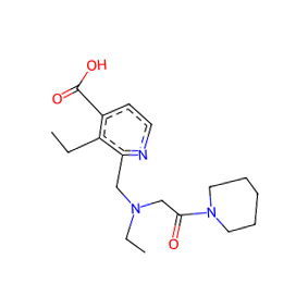 CCc1c(C(=O)O)ccnc1CN(CC)CC(=O)N1CCCCC1